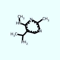 CNc1nc(C)ncc1C(C)P